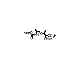 CCCCCCC(C(=O)O)C(C)OCC(C)NC(=O)OC(C)(C)C